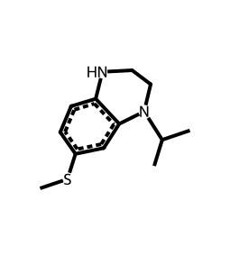 CSc1ccc2c(c1)N(C(C)C)CCN2